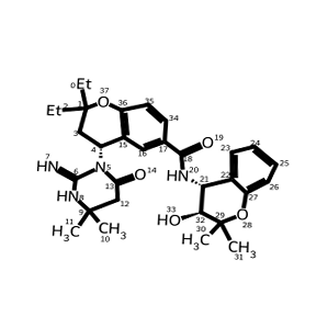 CCC1(CC)C[C@@H](N2C(=N)NC(C)(C)CC2=O)c2cc(C(=O)N[C@@H]3c4ccccc4OC(C)(C)[C@H]3O)ccc2O1